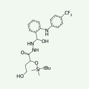 CC(C)(C)[Si](C)(C)OC(CCO)C(=O)NNC(O)c1ccccc1Nc1ccc(C(F)(F)F)cc1